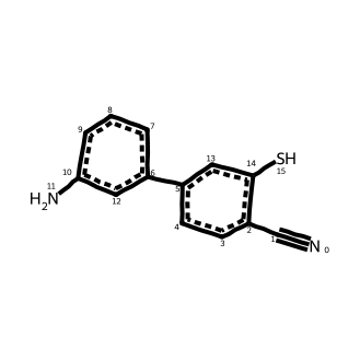 N#Cc1ccc(-c2cccc(N)c2)cc1S